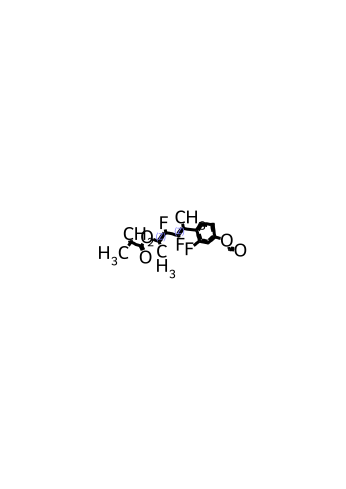 C=C(C)C(=O)O/C(C)=C(F)/C(F)=C(\C)c1ccc(OC=O)cc1F